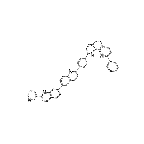 c1ccc(-c2ccc3ccc4ccc(-c5ccc(-c6ccc7cc(-c8ccc9ccc(-c%10cccnc%10)nc9c8)ccc7n6)cc5)nc4c3n2)cc1